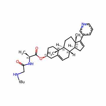 C[C@H](NC(=O)CNC(C)(C)C)C(=O)O[C@H]1CC[C@@]2(C)C(=CC[C@@H]3[C@@H]2CC[C@]2(C)C(c4cccnc4)=CC[C@@H]32)C1